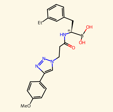 CCc1cccc(C[C@H](NC(=O)CCn2cc(-c3ccc(OC)cc3)nn2)B(O)O)c1